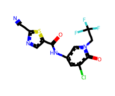 N#Cc1ncc(C(=O)Nc2cc(Cl)c(=O)n(CC(F)(F)F)c2)s1